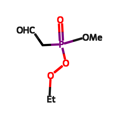 CCOOP(=O)(CC=O)OC